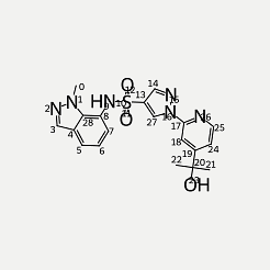 Cn1ncc2cccc(NS(=O)(=O)c3cnn(-c4cc(C(C)(C)O)ccn4)c3)c21